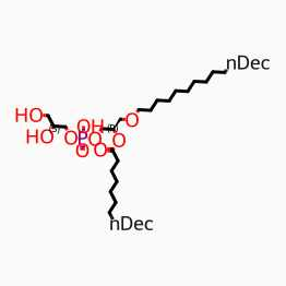 CCCCCCCCCCCCCCCCCCCCOC[C@H](COP(=O)(O)OC[C@@H](O)CO)OC(=O)CCCCCCCCCCCCCCCC